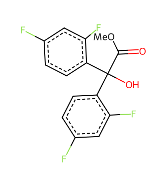 COC(=O)C(O)(c1ccc(F)cc1F)c1ccc(F)cc1F